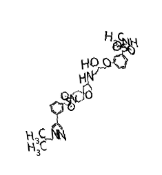 CNS(=O)(=O)c1cccc(OCC(O)CNC2COC3(CCN(S(=O)(=O)c4cccc(-c5cnn(CC(C)C)c5)c4)CC3)C2)c1